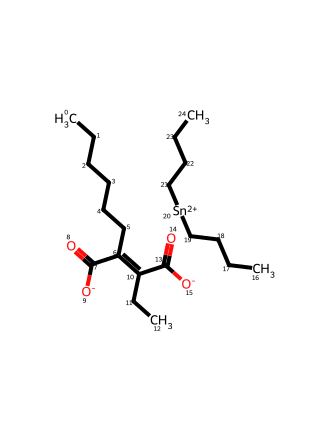 CCCCCCC(C(=O)[O-])=C(CC)C(=O)[O-].CCC[CH2][Sn+2][CH2]CCC